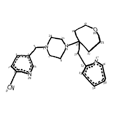 N#Cc1ccc(CN2CCN(C3(Cc4ccccn4)CCOCC3)CC2)cn1